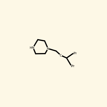 CC(C)C(CCN1CCNCC1)C(C)C